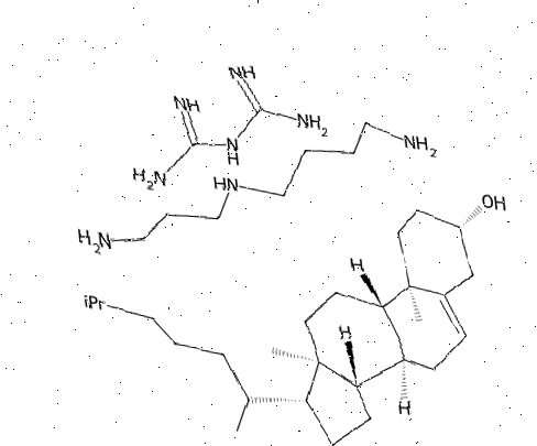 CC(C)CCCC(C)[C@H]1CC[C@H]2[C@@H]3CC=C4C[C@@H](O)CC[C@]4(C)[C@H]3CC[C@]12C.N=C(N)NC(=N)N.NCCCCNCCCN